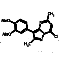 COc1ccc(-c2c(C)nn3c(Cl)cc(C)nc23)cc1OC